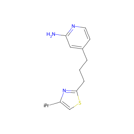 CC(C)c1csc(CCCc2ccnc(N)c2)n1